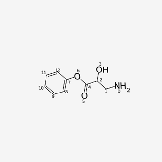 NCC(O)C(=O)Oc1ccccc1